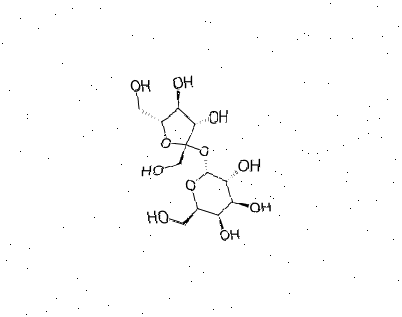 OC[C@H]1O[C@H](O[C@]2(CO)O[C@H](CO)[C@@H](O)[C@@H]2O)[C@H](O)[C@@H](O)[C@H]1O